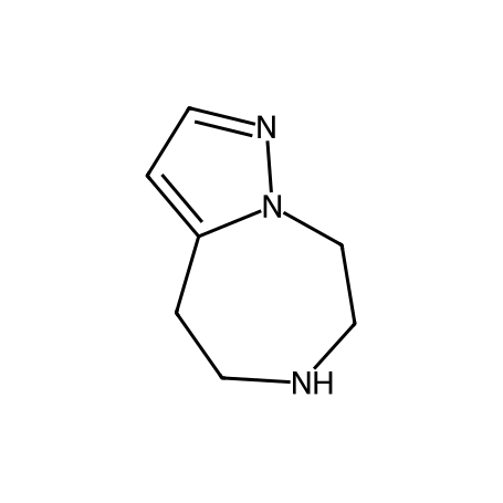 c1cc2n(n1)CCNCC2